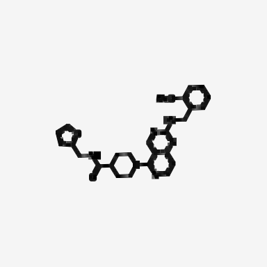 COc1ccccc1CNc1ncc2c(N3CCC(C(=O)NCc4ccco4)CC3)nccc2n1